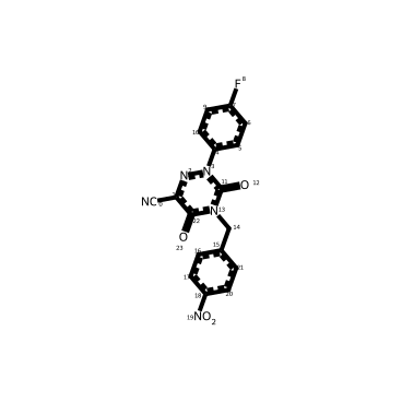 N#Cc1nn(-c2ccc(F)cc2)c(=O)n(Cc2ccc([N+](=O)[O-])cc2)c1=O